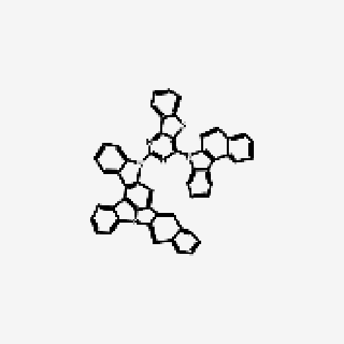 c1ccc2cc3c(cc2c1)c1cc2c(c4ccccc4n2-c2nc(-n4c5ccccc5c5c6ccccc6ccc54)c4sc5ccccc5c4n2)c2c4ccccc4n3c12